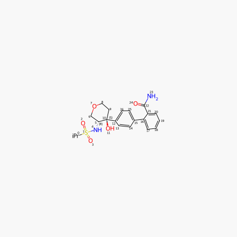 CC(C)S(=O)(=O)N[C@@H]1COCC[C@]1(O)c1ccc(-c2ccccc2C(N)=O)cc1